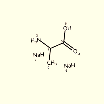 CC(N)C(=O)O.[NaH].[NaH]